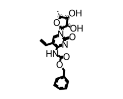 C=Cc1cn([C@@H]2O[C@H](C)[C@@H](O)[C@H]2O)c(=O)nc1NC(=O)OCc1ccccc1